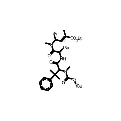 CCOC(=O)/C(C)=C/C(C(C)C)N(C)C(=O)C(NC(=O)C(N(C)C(=O)OC(C)(C)C)C(C)(C)c1ccccc1)C(C)(C)C